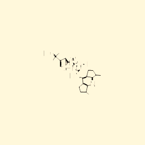 CC1CCc2c1nc1c(c2NC(=O)N[SH](N)(=O)c2cc(C(C)(C)O)cs2)CCC1C